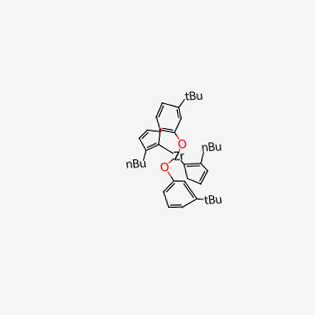 CCCCC1=[C]([Zr]([O]c2cccc(C(C)(C)C)c2)([O]c2cccc(C(C)(C)C)c2)[C]2=C(CCCC)C=CC2)CC=C1